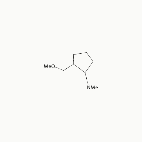 CNC1CCCC1COC